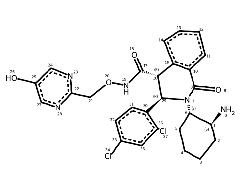 N[C@H]1CCCC[C@@H]1N1C(=O)c2ccccc2[C@@H](C(=O)NOCc2ncc(O)cn2)[C@@H]1c1ccc(Cl)cc1Cl